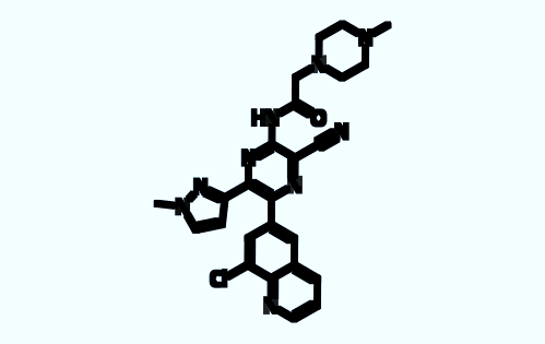 CN1CCN(CC(=O)Nc2nc(-c3ccn(C)n3)c(-c3cc(Cl)c4ncccc4c3)nc2C#N)CC1